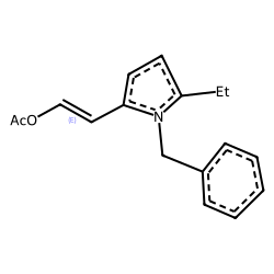 CCc1ccc(/C=C/OC(C)=O)n1Cc1ccccc1